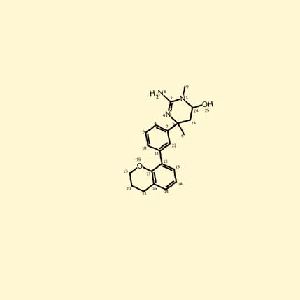 CN1C(N)=NC(C)(c2cccc(-c3cccc4c3OCCC4)c2)CC1O